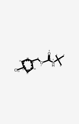 CC(C)(C)NC(=O)OCc1ccc(Cl)cc1